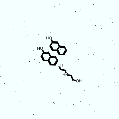 OCCNCCO.Oc1ccc2ccccc2c1.Oc1ccc2ccccc2c1